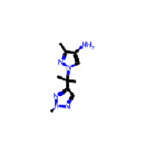 Cc1nn(C(C)(C)c2cnn(C)n2)cc1N